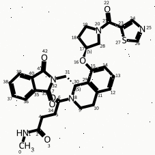 CNC(=O)CCC(=O)N1CCc2cccc(O[C@H]3CCN(C(=O)c4cncs4)C3)c2[C@H]1CN1C(=O)c2ccccc2C1=O